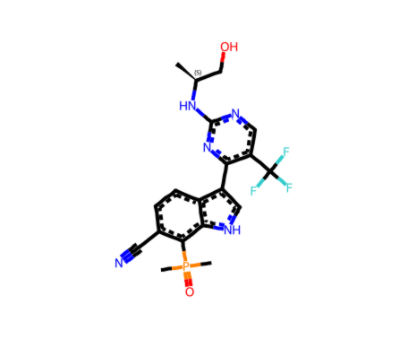 C[C@@H](CO)Nc1ncc(C(F)(F)F)c(-c2c[nH]c3c(P(C)(C)=O)c(C#N)ccc23)n1